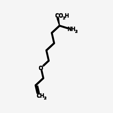 C=CCOCCCC[C@H](N)C(=O)O